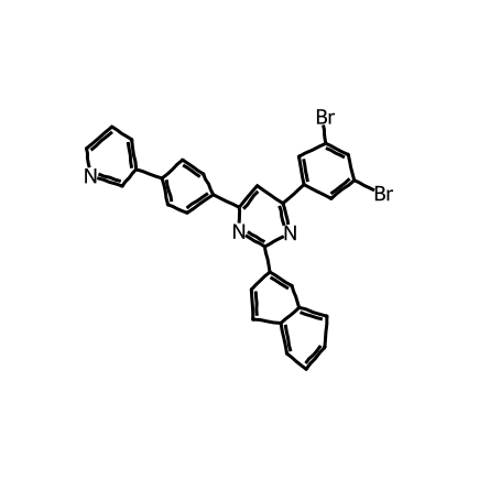 Brc1cc(Br)cc(-c2cc(-c3ccc(-c4cccnc4)cc3)nc(-c3ccc4ccccc4c3)n2)c1